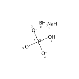 B.[NaH].[O-][I+3]([O-])([O-])O